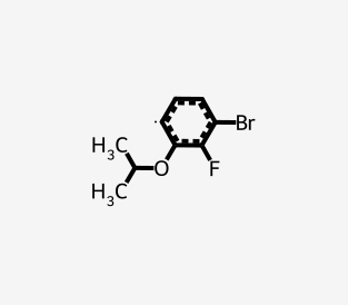 CC(C)Oc1[c]ccc(Br)c1F